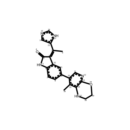 C/C(=C1/C(=O)Nc2ccc(-c3cnc4c(c3C)NCCO4)cc21)c1cnc[nH]1